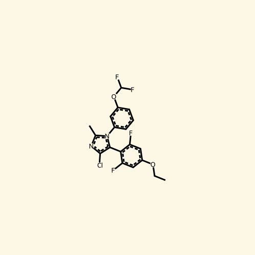 CCOc1cc(F)c(-c2c(Cl)nc(C)n2-c2cccc(OC(F)F)c2)c(F)c1